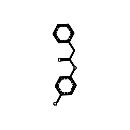 O=C(Cc1ccccc1)Oc1ccc(Cl)cc1